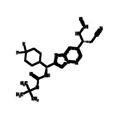 CC(C)(C)OC(=O)N[C@H](c1cn2ncc([C@@H](CC#N)N[SH]=O)cc2n1)C1CCC(F)(F)CC1